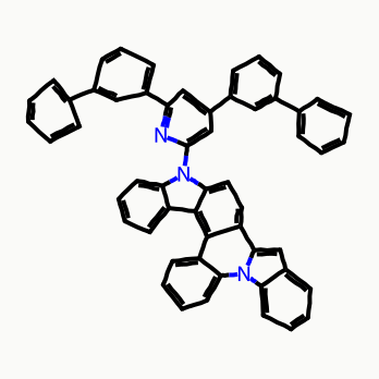 c1ccc(-c2cccc(-c3cc(-c4cccc(-c5ccccc5)c4)nc(-n4c5ccccc5c5c6c7ccccc7n7c8ccccc8cc7c6ccc54)c3)c2)cc1